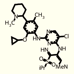 CN/C=C(/Nc1nc(Nc2cc(C)c(C3CCCCN3C)cc2OC2CC2)ncc1Cl)C(=N)S(=O)(=O)C(C)C